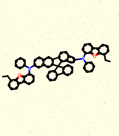 CCc1cccc2c1oc1c(N(c3ccccc3)c3ccc4cc5c(cc4c3)C3(c4ccccc4-c4ccccc43)c3c-5ccc4cc(N(c5ccccc5)c5cccc6c5oc5c(CC)cccc56)ccc34)cccc12